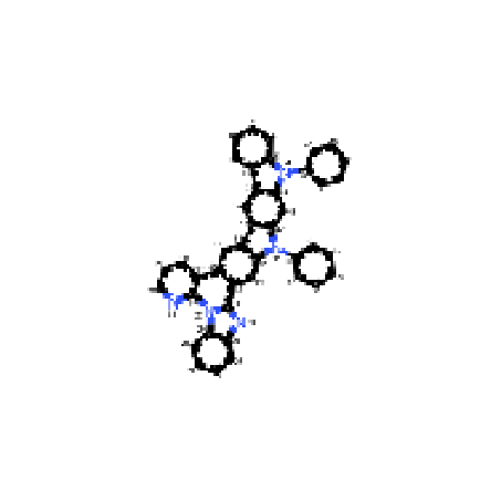 c1ccc(-n2c3ccccc3c3cc4c5cc6c7cccnc7n7c8ccccc8nc7c6cc5n(-c5ccccc5)c4cc32)cc1